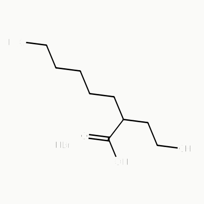 Br.CCCCCCC(CCC)C(=O)O